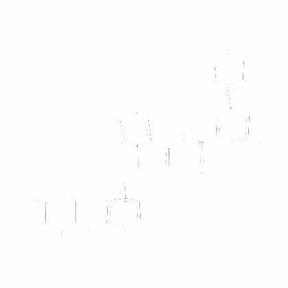 CC1CCC(Nc2nccc(Oc3ccc(NC(=O)c4cc(F)cc(N5CCCCC5)c4)c4ccccc34)n2)CC1